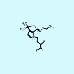 CCO/N=C/C1=C(C(C)(C)C)N=C[SH]1CCC(F)=C(F)F